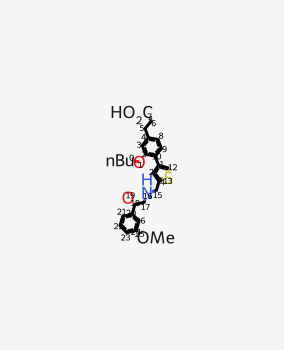 CCCCOc1cc(CCC(=O)O)ccc1-c1csc(CNCC(=O)c2cccc(OC)c2)c1